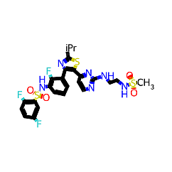 CC(C)c1nc(-c2cccc(NS(=O)(=O)c3cc(F)ccc3F)c2F)c(-c2ccnc(NCCNS(C)(=O)=O)n2)s1